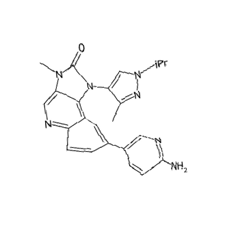 Cc1nn(C(C)C)cc1-n1c(=O)n(C)c2cnc3ccc(-c4ccc(N)nc4)cc3c21